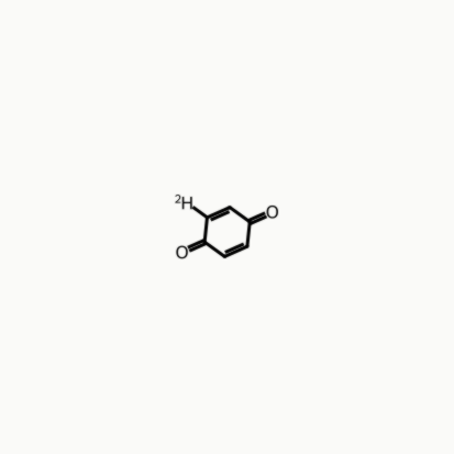 [2H]C1=CC(=O)C=CC1=O